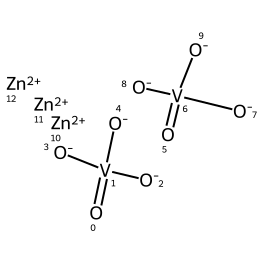 [O]=[V]([O-])([O-])[O-].[O]=[V]([O-])([O-])[O-].[Zn+2].[Zn+2].[Zn+2]